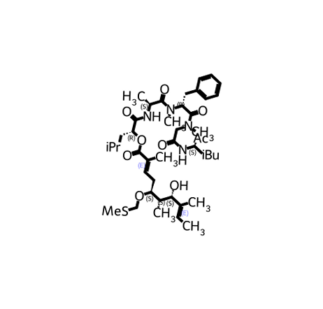 C/C=C(\C)[C@@H](O)[C@H](C)[C@H](C/C=C(\C)C(=O)O[C@H](CC(C)C)C(=O)N[C@@H](C)C(=O)N(C)[C@H](Cc1ccccc1)C(=O)N(C)CC(=O)N[C@H](C(C)=O)C(C)CC)OCSC